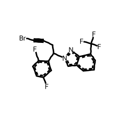 Fc1ccc(F)c(C(CC#CBr)n2cc3cccc(C(F)(F)F)c3n2)c1